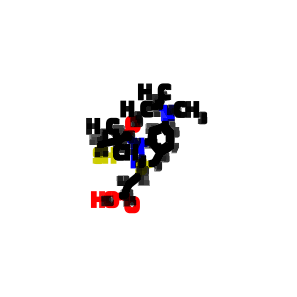 CC(C)N(C)c1ccc(CSCCC(=O)O)c(NC(=O)C(C)(C)CS)c1